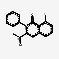 C[C@H](N)c1cc2cccc(F)c2c(=O)n1-c1ccccc1